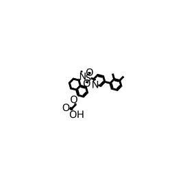 Cc1cccc(-c2ccc(S(=O)(=O)N(C)C3CCCc4c(OCC(=O)O)cccc43)nc2)c1C